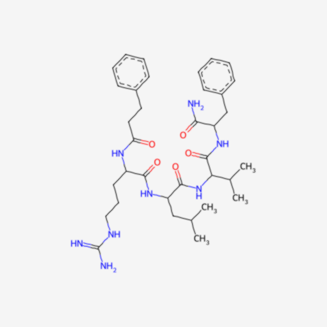 CC(C)CC(NC(=O)C(CCCNC(=N)N)NC(=O)CCc1ccccc1)C(=O)NC(C(=O)NC(Cc1ccccc1)C(N)=O)C(C)C